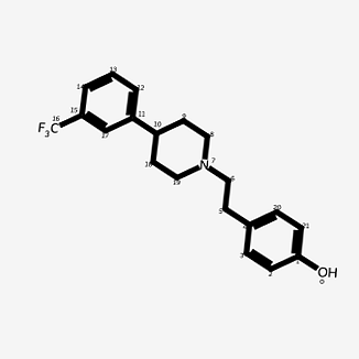 Oc1ccc(CCN2CCC(c3cccc(C(F)(F)F)c3)CC2)cc1